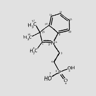 CC1=[N+](CCP(=O)(O)O)c2ccccc2C1(C)C